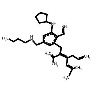 C=CC/C(C=C(C)C)=C(\Cc1cc(CNCCCC)cc(NC2CCCC2)c1C=N)C(=C)C